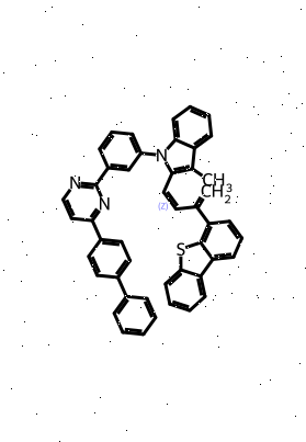 C=C(/C=C\c1c(C)c2ccccc2n1-c1cccc(-c2nccc(-c3ccc(-c4ccccc4)cc3)n2)c1)c1cccc2c1sc1ccccc12